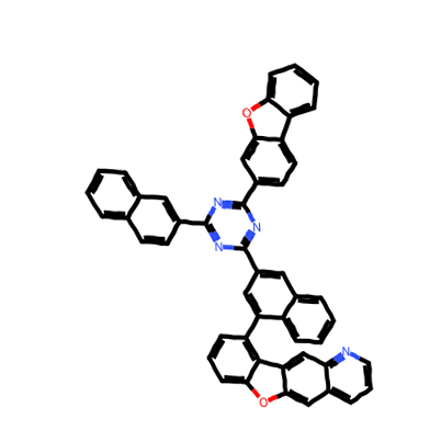 c1ccc2cc(-c3nc(-c4cc(-c5cccc6oc7cc8cccnc8cc7c56)c5ccccc5c4)nc(-c4ccc5c(c4)oc4ccccc45)n3)ccc2c1